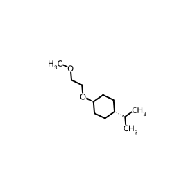 COCCO[C@H]1CC[C@H](C(C)C)CC1